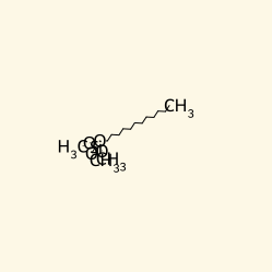 CCCCCCCCCCCCO[Si](OC)(OC)OC